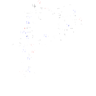 C=CC(=O)N(C)C1CN(C(=O)N(C)[C@H](C(=O)N2N[C@@]23Cc2nc(cs2)-c2ccc4c(c2)c(c(-c2cccnc2[C@H](C)OC)n4CC)CC(C)(C)COC(=O)[C@@H]2CCCN(C3=O)[N+]3=CC23)C(C)C)C1